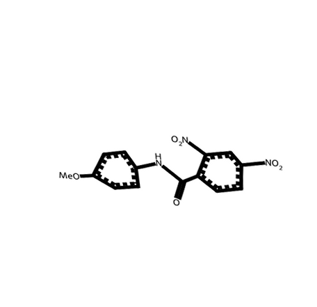 COc1ccc(NC(=O)c2ccc([N+](=O)[O-])cc2[N+](=O)[O-])cc1